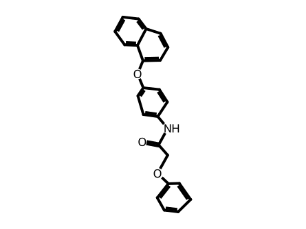 O=C(COc1ccccc1)Nc1ccc(Oc2cccc3ccccc23)cc1